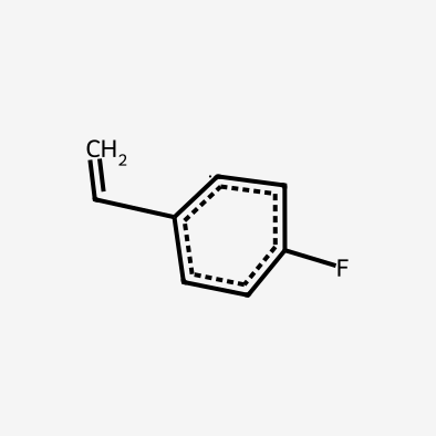 C=Cc1[c]cc(F)cc1